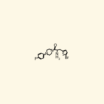 NC(Cc1ccc(Br)s1)C(=O)N1CCN(c2ccc(F)cc2)CC1